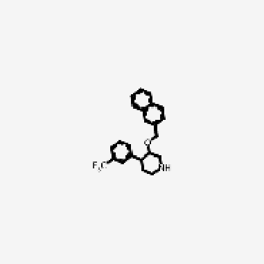 FC(F)(F)c1cccc(C2CCNCC2OCc2ccc3ccccc3c2)c1